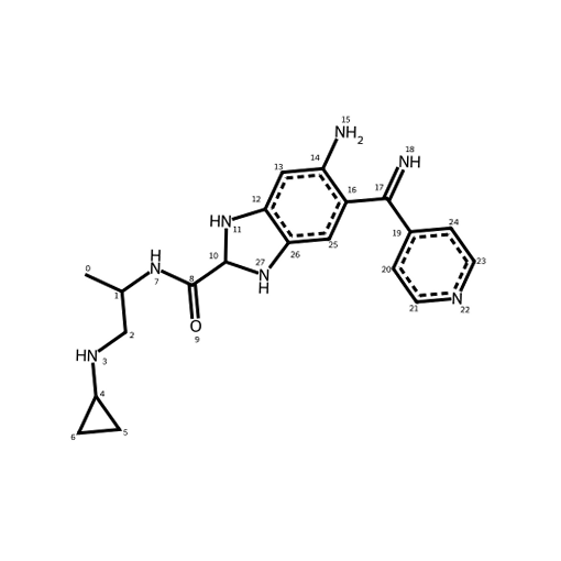 CC(CNC1CC1)NC(=O)C1Nc2cc(N)c(C(=N)c3ccncc3)cc2N1